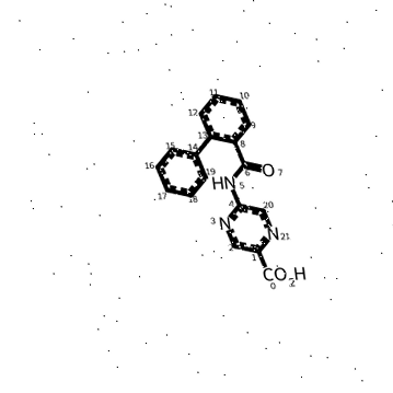 O=C(O)c1cnc(NC(=O)c2ccccc2-c2ccccc2)cn1